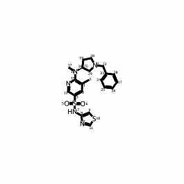 Cc1cc(S(=O)(=O)Nc2cscn2)cnc1N(C)[C@H]1CCN(Cc2ccccc2)C1